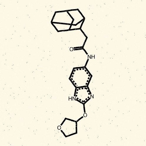 O=C(CC1C2CC3CC(C2)CC1C3)Nc1ccc2[nH]c(OC3CCOC3)nc2c1